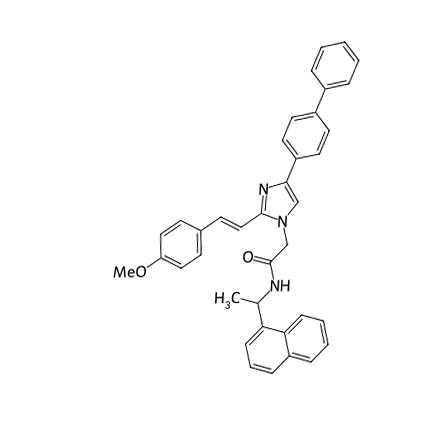 COc1ccc(/C=C/c2nc(-c3ccc(-c4ccccc4)cc3)cn2CC(=O)NC(C)c2cccc3ccccc23)cc1